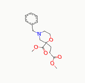 COC(=O)CCC1(C(=O)OC)CN(Cc2ccccc2)CCO1